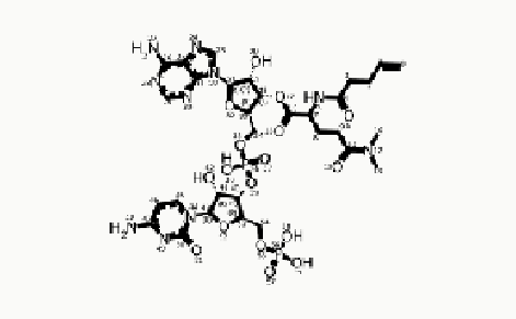 C=CCCC(=O)NC(CCC(=O)N(C)C)C(=O)O[C@H]1[C@@H](O)[C@H](n2cnc3c(N)ncnc32)O[C@@H]1COP(=O)(O)O[C@H]1[C@@H](O)[C@H](n2ccc(N)nc2=O)O[C@@H]1COP(=O)(O)O